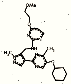 COCCOc1ccnc(NCc2c(-c3ncc(OC4CCCCC4)c(C)n3)cnn2C)n1